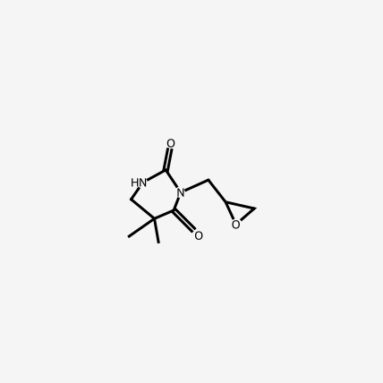 CC1(C)CNC(=O)N(CC2CO2)C1=O